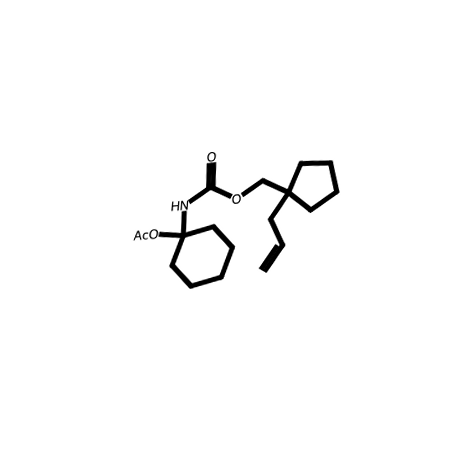 C=CCC1(COC(=O)NC2(OC(C)=O)CCCCC2)CCCC1